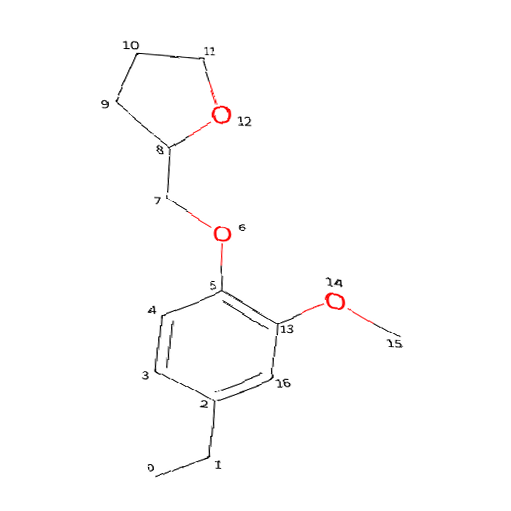 CCc1ccc(OCC2CCCO2)c(OC)c1